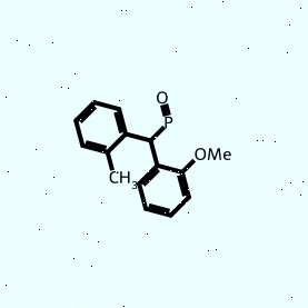 COc1ccccc1C(P=O)c1ccccc1C